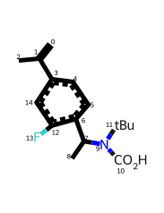 C=C(C)c1ccc(C(C)N(C(=O)O)C(C)(C)C)c(F)c1